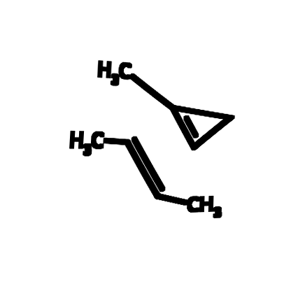 CC1=CC1.CC=CC